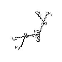 CCCCCCCCC(CCCCCC)C(=O)OCCCSCC(O)CN(CCN1CCCC1)CC(O)CSCCCOC(=O)C(CCCCCC)CCCCCCCC